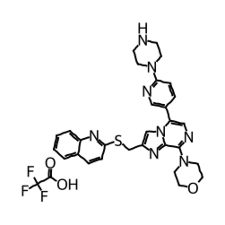 O=C(O)C(F)(F)F.c1ccc2nc(SCc3cn4c(-c5ccc(N6CCNCC6)nc5)cnc(N5CCOCC5)c4n3)ccc2c1